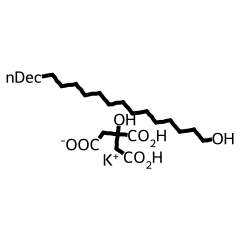 CCCCCCCCCCCCCCCCCCCCCCCCO.O=C([O-])CC(O)(CC(=O)O)C(=O)O.[K+]